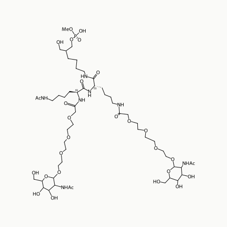 COP(=O)(O)OCC(CO)CCCCNC(=O)[C@H](CCCCNC(=O)COCCOCCOCCOC1OC(CO)C(O)C(O)C1NC(C)=O)NC(=O)[C@H](CCCCNC(C)=O)NC(=O)COCCOCCOCCOC1OC(CO)C(O)C(O)C1NC(C)=O